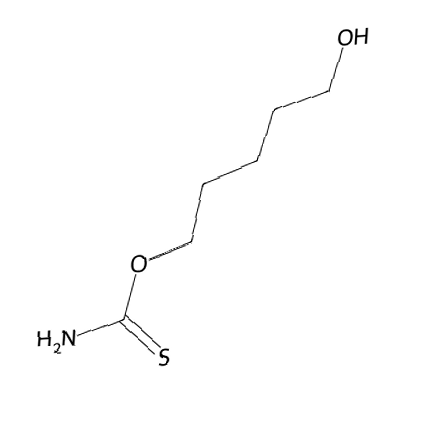 NC(=S)OCCCCCO